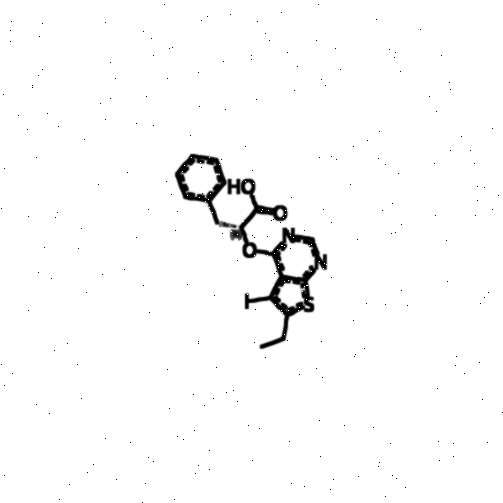 CCc1sc2ncnc(O[C@H](Cc3ccccc3)C(=O)O)c2c1I